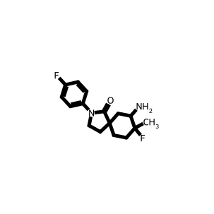 CC1(F)CCC2(CCN(c3ccc(F)cc3)C2=O)CC1N